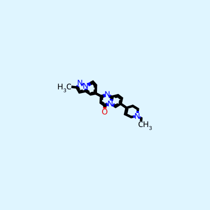 CCN1CC=C(c2ccc3nc(-c4ccn5nc(C)cc5c4)cc(=O)n3c2)CC1